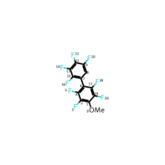 COc1c(F)c(F)c(-c2[c]c(F)c(F)c(F)c2F)c(F)c1F